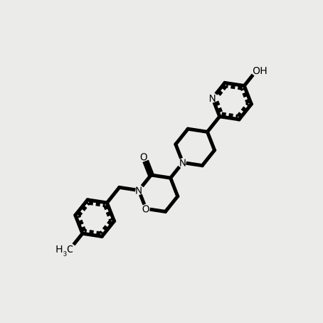 Cc1ccc(CN2OCCC(N3CCC(c4ccc(O)cn4)CC3)C2=O)cc1